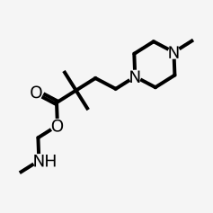 CNCOC(=O)C(C)(C)CCN1CCN(C)CC1